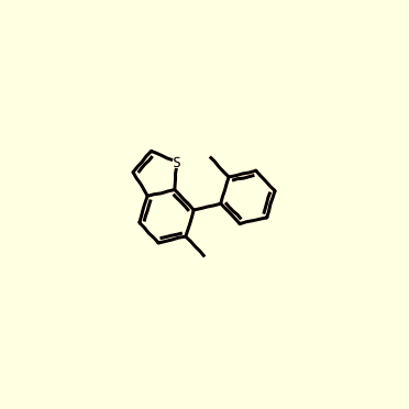 Cc1ccccc1-c1c(C)ccc2ccsc12